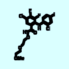 COCCOCCONC(=O)c1cc(Cl)c(F)c(F)c1Nc1ccc(I)cc1Cl